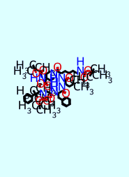 COC(=O)C1(NC(=O)OC(C)(C)C)CCN(C(=O)C(CCCCNC(=O)OC(C)(C)C)NC(=O)C(CC(C)C)NC(=O)C(Cc2ccccc2)NC(=O)CN(CC(C)(C)c2ccccc2)C(=O)OC(C)(C)C)CC1